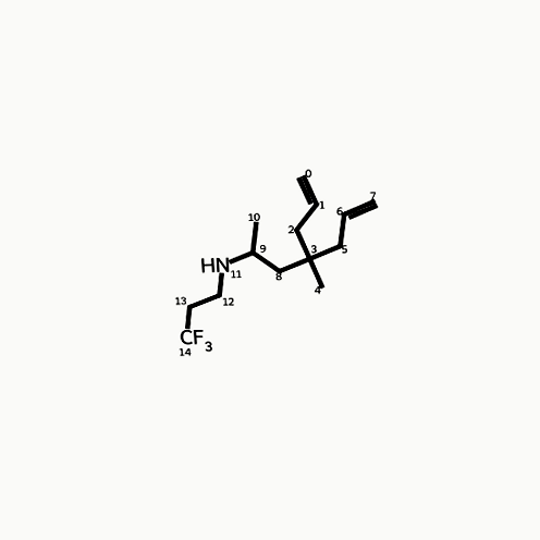 C=CCC(C)(CC=C)CC(C)NCCC(F)(F)F